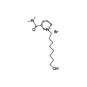 CN(C)C(=O)c1ccc[n+](CCCCCCCCO)c1.[Br-]